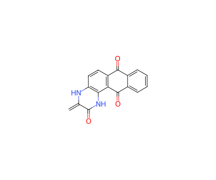 C=C1Nc2ccc3c(c2NC1=O)C(=O)c1ccccc1C3=O